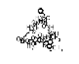 CC[C@@]1(O)C(=O)OCc2c1cc1n(c2=O)Cc2c-1nc1cc(F)c(C)c3c1c2[C@@H](NC(C)(O)COCNC(=O)CNC(=O)[C@H](Cc1ccccc1)NC(=O)CNC(=O)CNC(=O)CCCCCN1C(=O)C=CC1=O)CC3